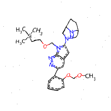 COCOc1ccccc1-c1cc2cc(N3CC4CCC(C3)N4)n(COCC[Si](C)(C)C)c2nn1